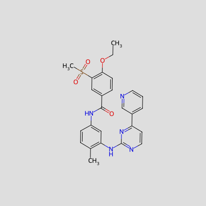 CCOc1ccc(C(=O)Nc2ccc(C)c(Nc3nccc(-c4cccnc4)n3)c2)cc1S(C)(=O)=O